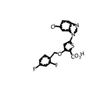 O=C(O)c1sc(-n2cnc3ccc(Cl)cc32)cc1OCc1ccc(F)cc1F